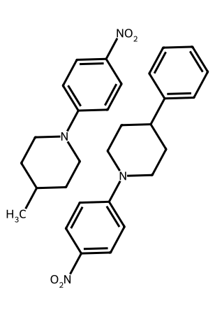 CC1CCN(c2ccc([N+](=O)[O-])cc2)CC1.O=[N+]([O-])c1ccc(N2CCC(c3ccccc3)CC2)cc1